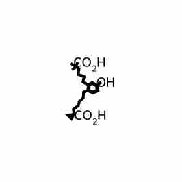 CC(C)(CCCCc1cc(O)ccc1CCCCCC1(C(=O)O)CC1)C(=O)O